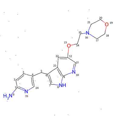 Nc1ccc(Cc2c[nH]c3ncc(OCCN4CCOCC4)cc23)cn1